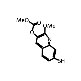 COC(=O)Oc1cc2ccc(S)cc2nc1OC